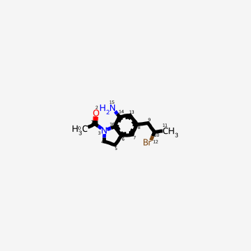 CC(=O)N1CCc2cc(CC(C)Br)cc(N)c21